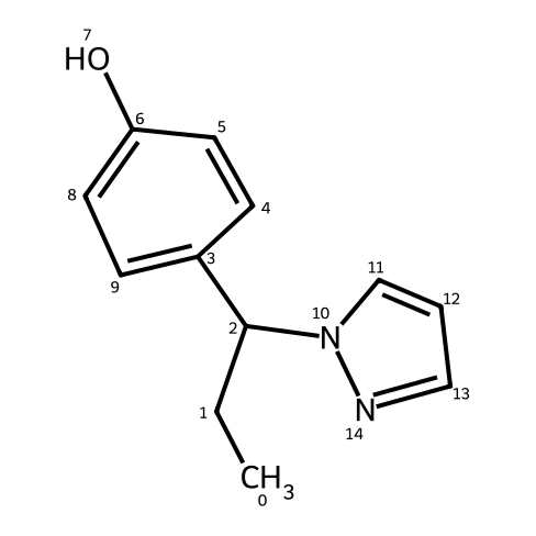 CCC(c1ccc(O)cc1)n1cccn1